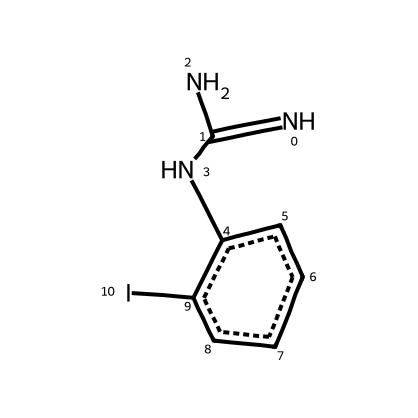 N=C(N)Nc1ccccc1I